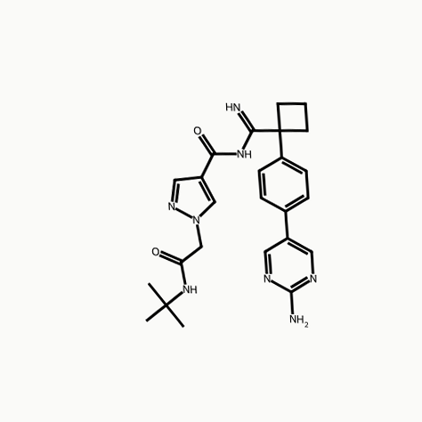 CC(C)(C)NC(=O)Cn1cc(C(=O)NC(=N)C2(c3ccc(-c4cnc(N)nc4)cc3)CCC2)cn1